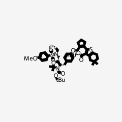 CCCCOC(=O)c1c(C2=C(COc3ccc(C[C@H]4[C@@H](CN(CC(C)C)S(=O)(=O)c5ccc(OC)cc5)OC(C)(C)N4C(=O)OC(C)(C)C)cc3)CCC2)sc2c1CC(C)(C)CC2